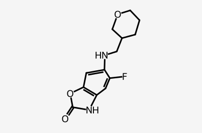 O=c1[nH]c2cc(F)c(NCC3CCCOC3)cc2o1